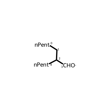 CCCCCCC([C]=O)CCCCC